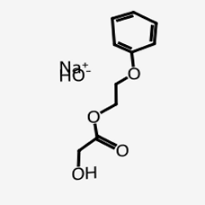 O=C(CO)OCCOc1ccccc1.[Na+].[OH-]